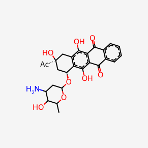 CC(=O)[C@]1(O)Cc2c(O)c3c(c(O)c2[C@@H](OC2CC(N)C(O)C(C)O2)C1)C(=O)c1ccccc1C3=O